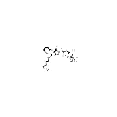 CCCCC(C)(CC=C[C@H]1CC[C@@](CCCCCCC(=O)OC)(O[C@@H]2CCCCO2)C1=O)O[Si](C)(C)C